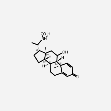 CC(NC(=O)O)[C@H]1CC[C@H]2[C@@H]3CCC4=CC(=O)C=C[C@]4(C)[C@H]3C(O)C[C@]12C